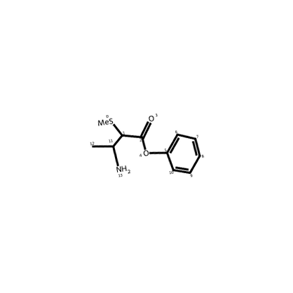 CSC(C(=O)Oc1ccccc1)C(C)N